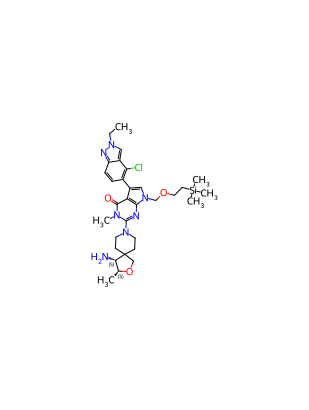 CCn1cc2c(Cl)c(-c3cn(COCC[Si](C)(C)C)c4nc(N5CCC6(CC5)CO[C@@H](C)[C@H]6N)n(C)c(=O)c34)ccc2n1